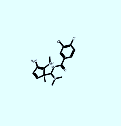 CNC1=C(N)C=C[C@@]1(C)C(NC(=O)c1ccc(Cl)c(Cl)c1)N(C)C